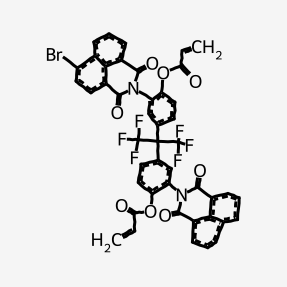 C=CC(=O)Oc1ccc(C(c2ccc(OC(=O)C=C)c(N3C(=O)c4cccc5c(Br)ccc(c45)C3=O)c2)(C(F)(F)F)C(F)(F)F)cc1N1C(=O)c2cccc3cccc(c23)C1=O